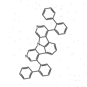 c1ccc(-c2ccccc2-c2cncc3c2c2cccc4c5c(-c6ccccc6-c6ccccc6)cncc5n3c24)cc1